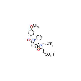 O=C(O)CCC(=O)N(CCC(F)(F)F)[C@H]1c2ccccc2N(C(=O)c2ccc(OC(F)(F)F)cc2)[C@@H]2CCC[C@@H]21